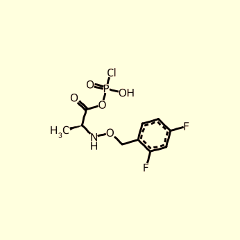 C[C@H](NOCc1ccc(F)cc1F)C(=O)OP(=O)(O)Cl